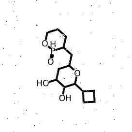 O=[PH]1OCCCC1CC1CC(O)C(O)C(C2CCC2)O1